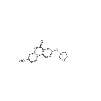 O=c1oc2cc(O)ccc2c2ccc(O[C@@H]3CCOC3)cc12